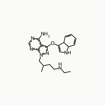 CCNCCC(C)Cn1nc(OC2=CNC3C=CC=CC23)c2c(N)ncnc21